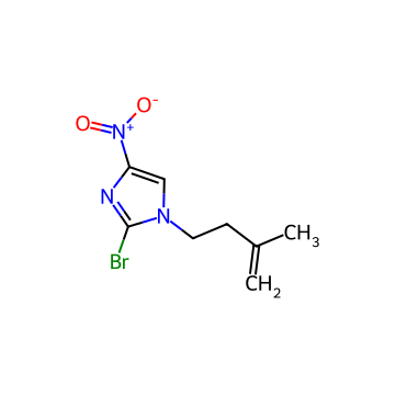 C=C(C)CCn1cc([N+](=O)[O-])nc1Br